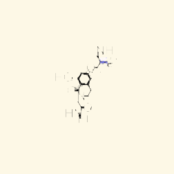 CCNC(=O)CN1CCc2cc(OC/C(=C\F)CN)ccc2C1=O.Cl